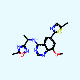 COc1cc(-c2ncc(C)s2)cc2c(NC(C)c3noc(C)n3)ncnc12